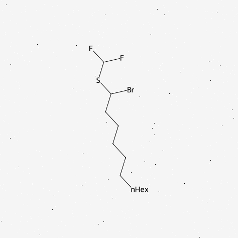 CCCCCCCCCCCC(Br)SC(F)F